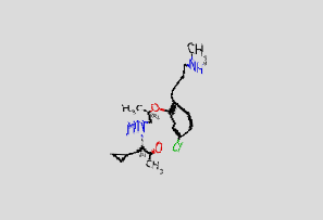 CNCCCc1ccc(Cl)cc1O[C@H](C)CN[C@H](C(C)=O)C1CC1